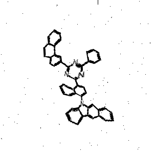 c1ccc(-c2nc(-c3ccc4ccc5ccccc5c4c3)nc(-c3ccc(-n4c5ccccc5c5cc6ccccc6cc54)c4ccccc34)n2)cc1